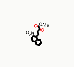 COC(=O)C(=O)CCc1c([N+](=O)[O-])ccc2ccccc12